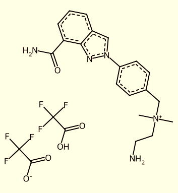 C[N+](C)(CCN)Cc1ccc(-n2cc3cccc(C(N)=O)c3n2)cc1.O=C(O)C(F)(F)F.O=C([O-])C(F)(F)F